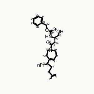 C=C(C)CCC(CCC)C1=CCCN(C(=O)C[C@H](CO)NC(=O)OCc2ccccc2)CC1